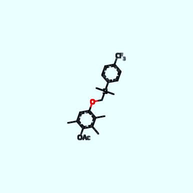 CC(=O)Oc1c(C)cc(OC[Si](C)(C)c2ccc(C(F)(F)F)cc2)c(C)c1C